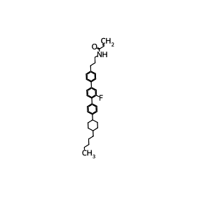 C=CC(=O)NCCCc1ccc(-c2ccc(-c3ccc(C4CCC(CCCCC)CC4)cc3)c(F)c2)cc1